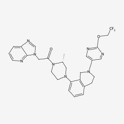 C[C@@H]1CN(c2cccc3c2CN(c2cnc(OCC(F)(F)F)nc2)CC3)CCN1C(=O)Cn1cnc2cccnc21